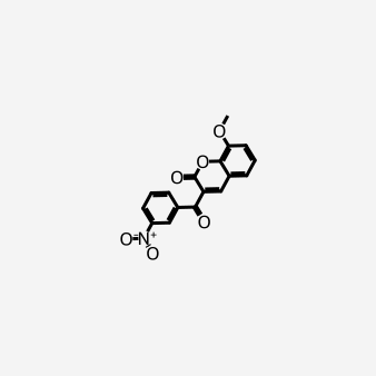 COc1cccc2cc(C(=O)c3cccc([N+](=O)[O-])c3)c(=O)oc12